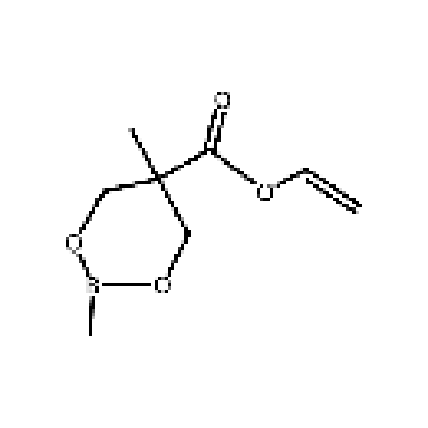 C=COC(=O)C1(C)COB(C)OC1